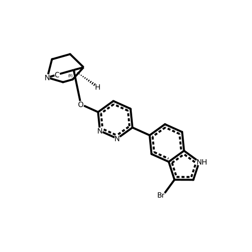 Brc1c[nH]c2ccc(-c3ccc(O[C@H]4CN5CCC4CC5)nn3)cc12